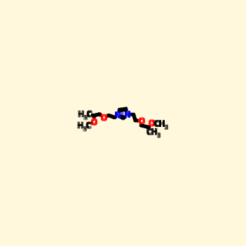 COC(C)COCCn1cc[n+](CCOCC(C)OC)c1